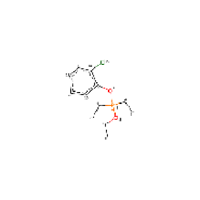 CCO[PH](CC)(CC)Oc1ccccc1Cl